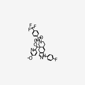 COc1ccc(C(=O)C23Cc4cnn(-c5ccc(F)cc5)c4C=C2CCN(S(=O)(=O)c2ccc(C(F)(F)F)cc2)C3)nc1